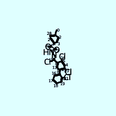 Cc1ccc(S(=O)(=O)NN=C(Cl)c2cc(-c3ccccc3Cl)c(Cl)cc2Cl)cc1